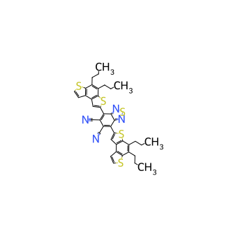 CCCc1c(CCC)c2sc(-c3c(C#N)c(C#N)c(-c4cc5c(s4)c(CCC)c(CCC)c4sccc45)c4nsnc34)cc2c2ccsc12